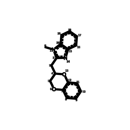 Cn1c(CC2COc3ccccc3O2)nc2ccccc21